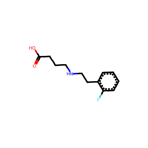 O=C(O)CCCNCCc1ccccc1F